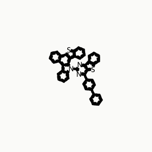 c1ccc(-c2ccc(-c3nc(-n4c5ccccc5c5c6ccccc6c6sc7ccccc7c6c54)nc4c3sc3ccccc34)cc2)cc1